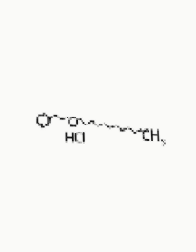 CCCCCCCCCCCCOCCCc1ccccc1.Cl